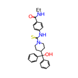 CCNC(=O)c1ccc(NC(=S)N2CCC(C(O)(c3ccccc3)c3ccccc3)CC2)cc1